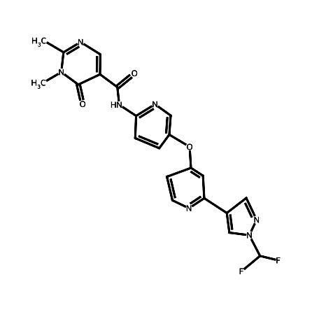 Cc1ncc(C(=O)Nc2ccc(Oc3ccnc(-c4cnn(C(F)F)c4)c3)cn2)c(=O)n1C